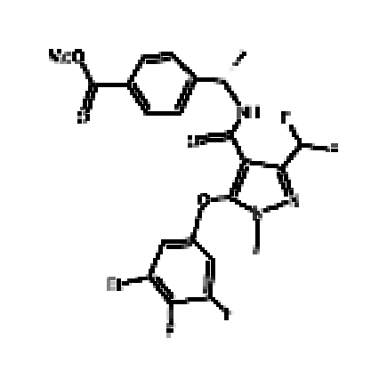 CCc1cc(Oc2c(C(=O)N[C@@H](C)c3ccc(C(=O)OC)cc3)c(C(F)F)nn2C)cc(F)c1F